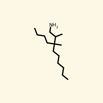 CCCCCCC(C)(CCCC)C(C)CN